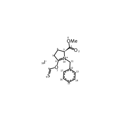 COC(=O)[C@@H]1CCC(OC=S)=[N+]1Cc1ccccc1.[I-]